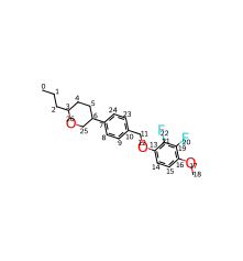 CCCC1CCC(c2ccc(COc3ccc(OC)c(F)c3F)cc2)CO1